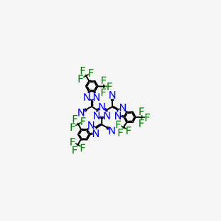 N#CC(=C1N=c2cc(C(F)(F)F)cc(C(F)(F)F)c2=N1)c1nc(C(C#N)=C2N=c3cc(C(F)(F)F)cc(C(F)(F)F)c3=N2)nc(C(C#N)=C2N=c3cc(C(F)(F)F)cc(C(F)(F)F)c3=N2)n1